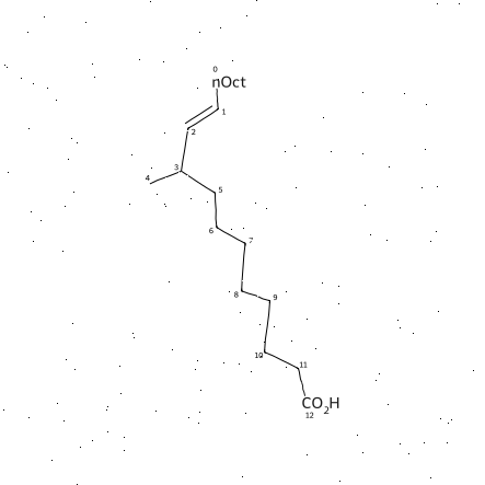 CCCCCCCCC=CC(C)CCCCCCCC(=O)O